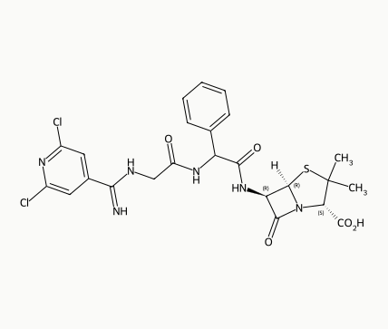 CC1(C)S[C@@H]2[C@H](NC(=O)C(NC(=O)CNC(=N)c3cc(Cl)nc(Cl)c3)c3ccccc3)C(=O)N2[C@H]1C(=O)O